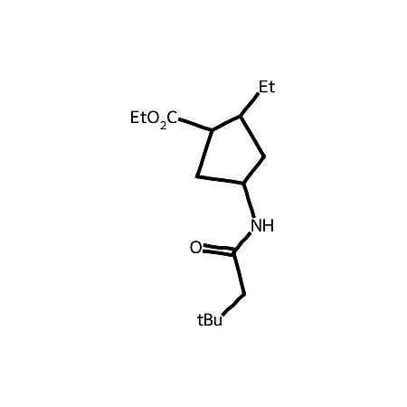 CCOC(=O)C1CC(NC(=O)CC(C)(C)C)CC1CC